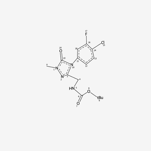 Cn1nc(CNC(=O)OC(C)(C)C)n(-c2ccc(Cl)c(F)c2)c1=O